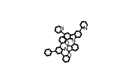 O=C1c2cccc(-n3c4ccc(-c5ccccn5)cc4c4cc(-c5ccccn5)ccc43)c2C(=O)N1c1c(-c2ccccc2)cc(-c2ccccc2)cc1-c1ccccc1